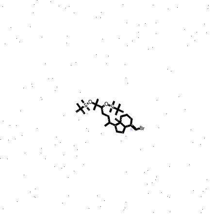 CC(CCC(O[Si](C)(C)C(C)(C)C)C(C)(C)O[Si](C)(C)C(C)(C)C)C1CCC2/C(=C/Br)CCCC21C